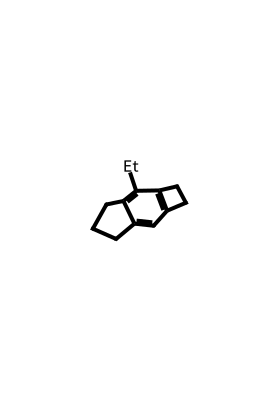 CCc1c2c(cc3c1CC3)CCC2